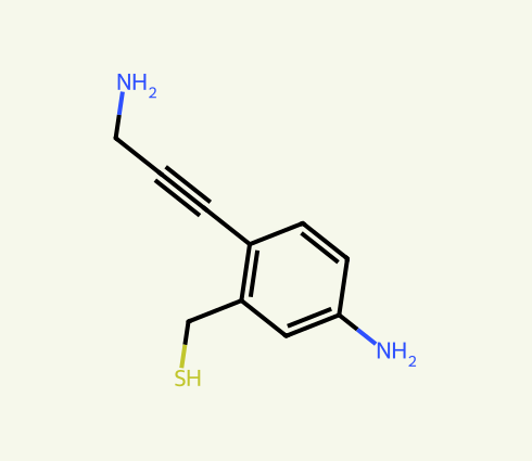 NCC#Cc1ccc(N)cc1CS